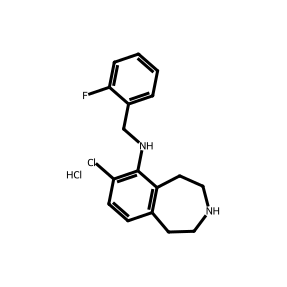 Cl.Fc1ccccc1CNc1c(Cl)ccc2c1CCNCC2